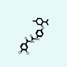 CC1CCC(C(C)C)C(Oc2ccc(NC(=O)NC(=O)c3ccc(Cl)c(Cl)c3)cc2)C1